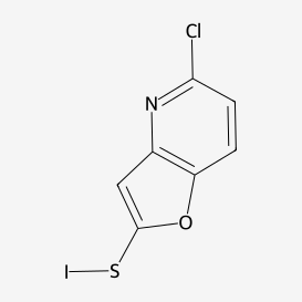 Clc1ccc2oc(SI)cc2n1